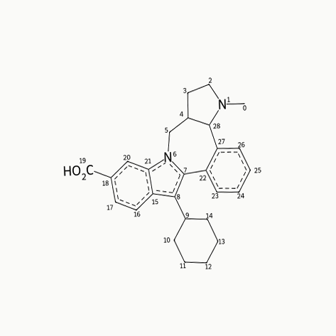 CN1CCC2Cn3c(c(C4CCCCC4)c4ccc(C(=O)O)cc43)-c3ccccc3C21